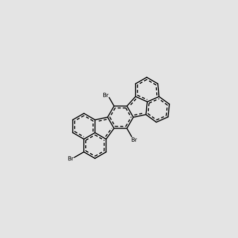 Brc1ccc2c3c(Br)c4c5cccc6cccc(c4c(Br)c3c3cccc1c32)c65